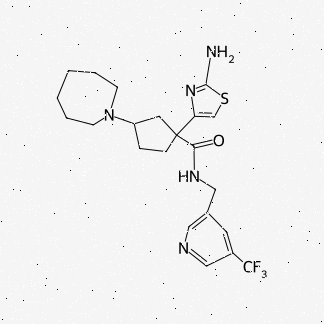 Nc1nc(C2(C(=O)NCc3cncc(C(F)(F)F)c3)CCC(N3CCCCCC3)C2)cs1